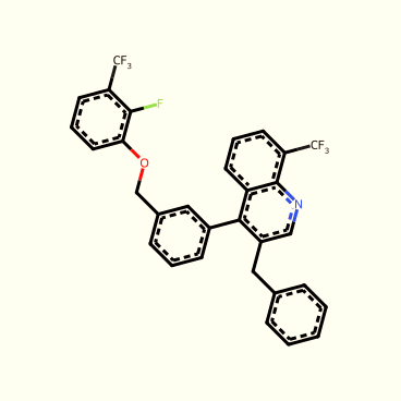 Fc1c(OCc2cccc(-c3c(Cc4ccccc4)cnc4c(C(F)(F)F)cccc34)c2)cccc1C(F)(F)F